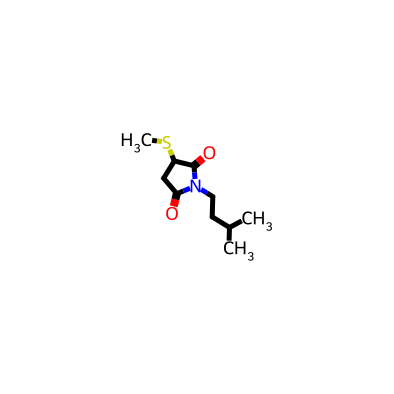 CSC1CC(=O)N(CCC(C)C)C1=O